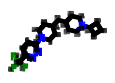 FC(F)(F)c1ccc(N2CCC(CC3CCN(C4CCC4)CC3)CC2)nn1